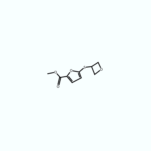 COC(=O)c1ccc(SC2COC2)o1